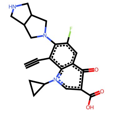 C#Cc1c(N2CC3CNCC3C2)c(F)cc2c(=O)c(C(=O)O)cn(C3CC3)c12